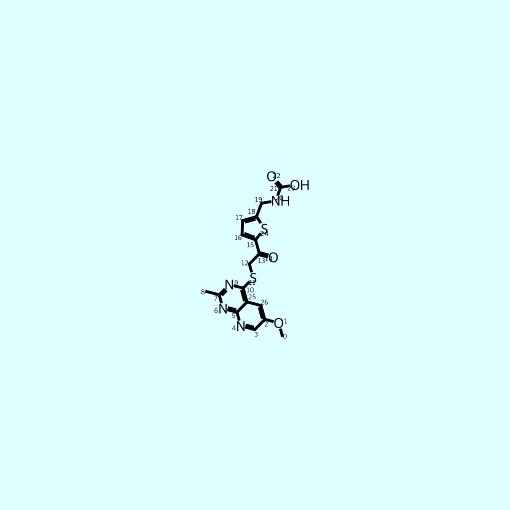 COc1cnc2nc(C)nc(SCC(=O)c3ccc(CNC(=O)O)s3)c2c1